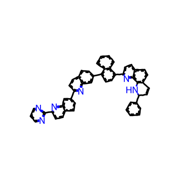 C1=CC(c2ccccc2)Nc2c1ccc1ccc(-c3ccc(-c4ccc5ccc(-c6ccc7ccc(-c8ncccn8)nc7c6)nc5c4)c4ccccc34)nc21